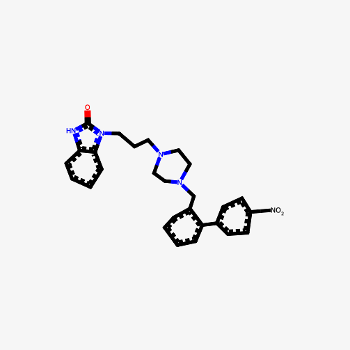 O=c1[nH]c2ccccc2n1CCCN1CCN(Cc2ccccc2-c2ccc([N+](=O)[O-])cc2)CC1